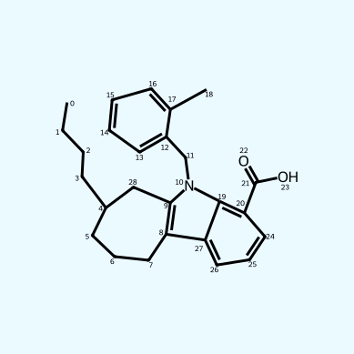 CCCCC1CCCc2c(n(Cc3ccccc3C)c3c(C(=O)O)cccc23)C1